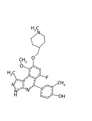 COc1c(OCC2CCN(C)CC2)cc(F)c2c(-c3ccc(O)c(C)c3)nc3[nH]nc(C)c3c12